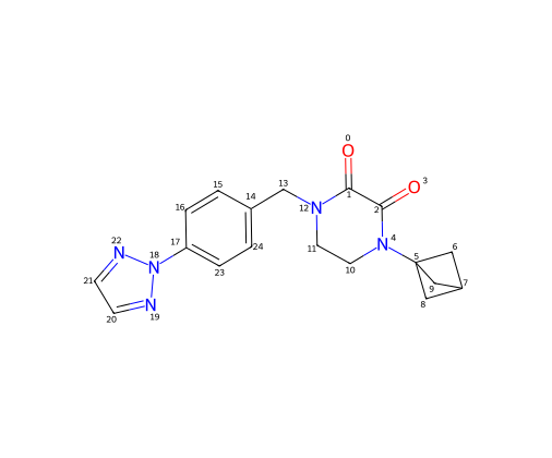 O=C1C(=O)N(C23CC(C2)C3)CCN1Cc1ccc(-n2nccn2)cc1